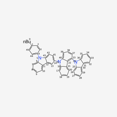 CCCCc1ccc(-n2c3ccccc3c3cc(-n4c5ccccc5c5c(-n6c7ccccc7c7ccccc76)cccc54)ccc32)cc1